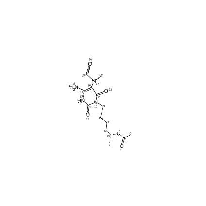 CC(=O)O[C@H](C)CCCCn1c(=O)[nH]c(N)c(N(C)C=O)c1=O